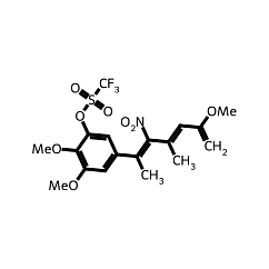 C=C(/C=C(C)/C(=C(\C)c1cc(OC)c(OC)c(OS(=O)(=O)C(F)(F)F)c1)[N+](=O)[O-])OC